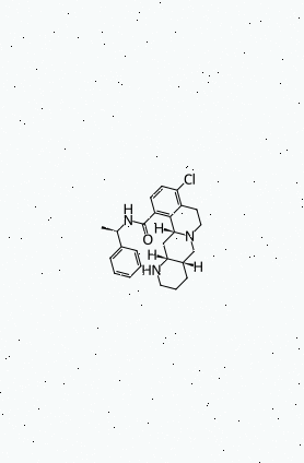 C[C@@H](NC(=O)c1ccc(Cl)c2c1[C@H]1C[C@H]3NCCC[C@H]3CN1CC2)c1ccccc1